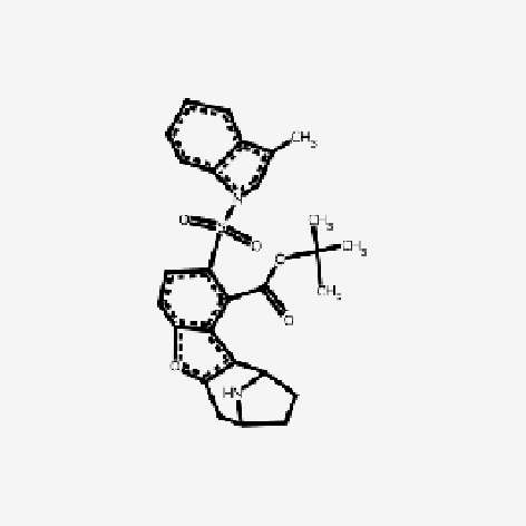 Cc1cn(S(=O)(=O)c2ccc3oc4c(c3c2C(=O)OC(C)(C)C)C2CCC(C4)N2)c2ccccc12